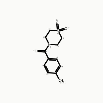 Cc1ccc(C(=O)N2CCS(=O)(=O)CC2)cc1